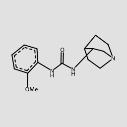 COc1ccccc1NC(=O)NC1CN2CCC1CC2